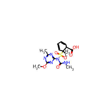 CNC(=O)N(c1nc(C)nc(OC)n1)S(=O)(=O)C1(C)C=CC=CC1C(=O)O